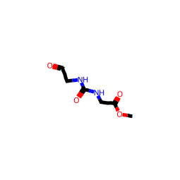 COC(=O)CNC(=O)NC[C]=O